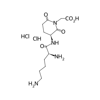 Cl.Cl.NCCCC[C@H](N)C(=O)N[C@H]1CCC(=O)N(CC(=O)O)C1=O